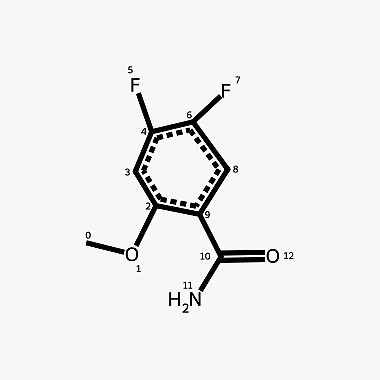 COc1cc(F)c(F)cc1C(N)=O